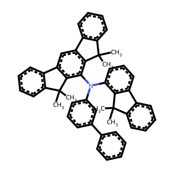 CC1(C)c2ccccc2-c2cccc(N(c3cccc(-c4ccccc4)c3)c3c4c(cc5c3C(C)(C)c3ccccc3-5)-c3ccccc3C4(C)C)c21